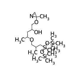 CC(COC(C)CC(O)COC1(C)C=N1)C[Si](C)(O[Si](C)(C)C)O[Si](C)(C)C